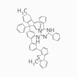 CC1C=CC2=C(C1)c1ccccc1C2(c1ccccc1)c1ccc(-c2cccc(-c3cccc4c3SC3(C)C=CC=CC43)c2)c(NC2=NC(c3ccccc3)NC(c3ccccc3)=N2)c1